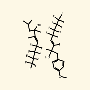 CC(C)CC(C)(O)C(I)=CC(F)(F)C(F)(F)C(F)(F)C(F)(F)F.COc1ccc(CC(C)(O)C(I)=CC(F)(F)C(F)(F)C(F)(F)C(F)(F)F)cc1